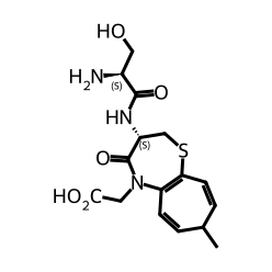 CC1C=CC2=C(C=C1)N(CC(=O)O)C(=O)[C@H](NC(=O)[C@@H](N)CO)CS2